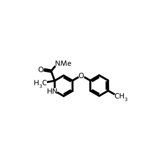 CNC(=O)C1(C)C=C(Oc2ccc(C)cc2)C=CN1